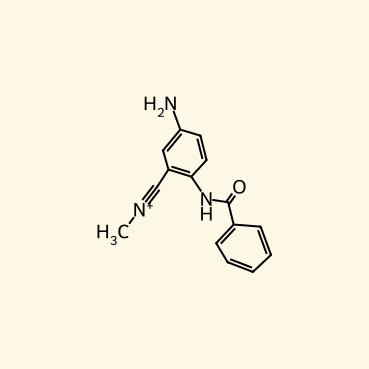 C[N+]#Cc1cc(N)ccc1NC(=O)c1ccccc1